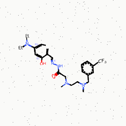 C=C(/C=N/NC(=O)CN(C)CCN(C)Cc1cccc(C(F)(F)F)c1)/C(O)=C\C(=C/C)N(CC)CC